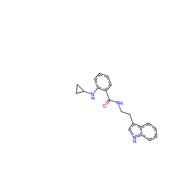 O=C(NCCc1c[nH]c2ccccc12)c1ccccc1NC1CC1